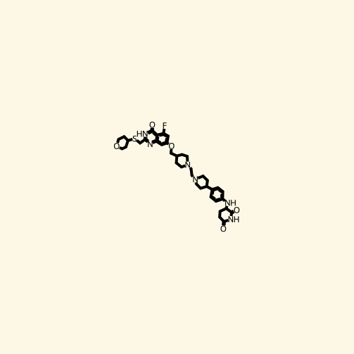 O=C1CCC(Nc2ccc(C3CCN(CCN4CCC(COc5cc(F)c6c(=O)[nH]c(CSC7CCOCC7)nc6c5)CC4)CC3)cc2)C(=O)N1